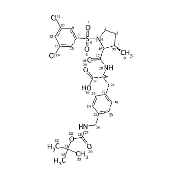 C[C@@H]1CCN(S(=O)(=O)c2cc(Cl)cc(Cl)c2)C1C(=O)NC(Cc1ccc(CNC(=O)OC(C)(C)C)cc1)C(=O)O